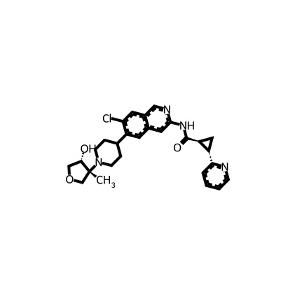 C[C@@]1(N2CCC(c3cc4cc(NC(=O)[C@H]5C[C@@H]5c5ccccn5)ncc4cc3Cl)CC2)COC[C@@H]1O